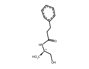 O=C(CCc1ccccc1)N[C@@H](CO)C(=O)O